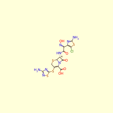 Nc1nsc(SC2=C(C(=O)O)N3C(=O)[C@@H](NC(=O)C(=NO)c4nc(N)sc4Cl)C3SC2)n1